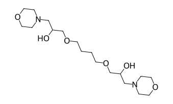 OC(COCCCCOCC(O)CN1CCOCC1)CN1CCOCC1